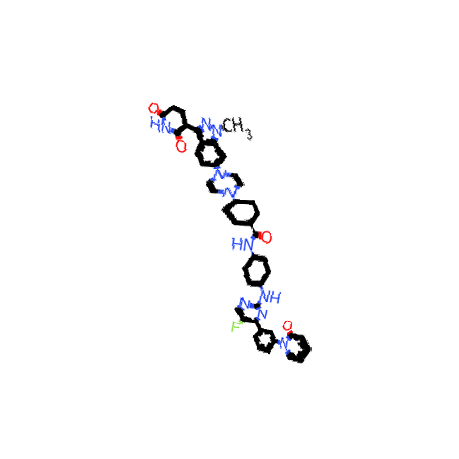 Cn1nc(C2CCC(=O)NC2=O)c2ccc(N3CCN([C@H]4CC[C@H](C(=O)N[C@H]5CC[C@H](Nc6ncc(F)c(-c7cccc(-n8ccccc8=O)c7)n6)CC5)CC4)CC3)cc21